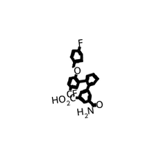 NC(=O)c1cc(C(=O)O)cc(-c2ccccc2-c2cc(C(F)(F)F)ccc2OCc2ccc(F)cc2)c1